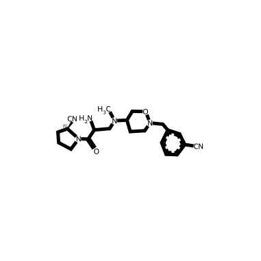 CN(CC(N)C(=O)N1CCC[C@H]1C#N)C1CCN(Cc2cccc(C#N)c2)OC1